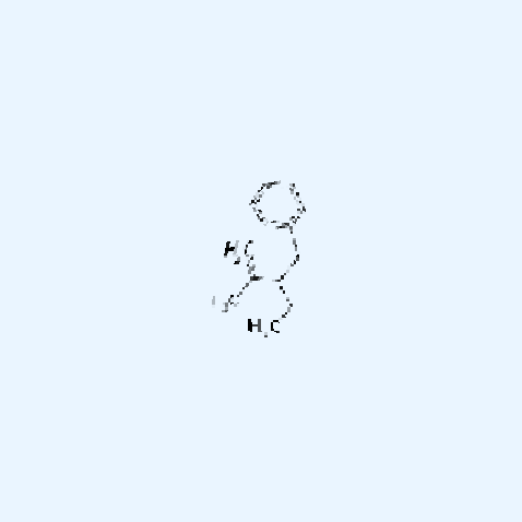 C=C(C)C(CC)Cc1ccccc1